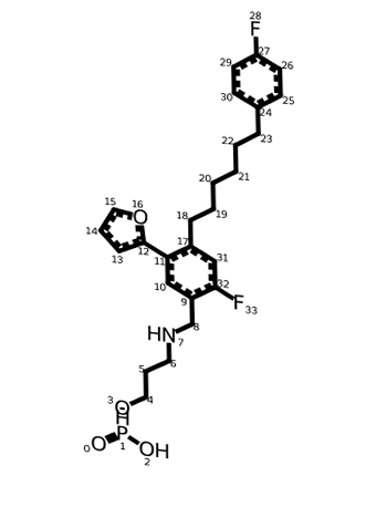 O=[PH](O)OCCCNCc1cc(-c2ccco2)c(CCCCCCc2ccc(F)cc2)cc1F